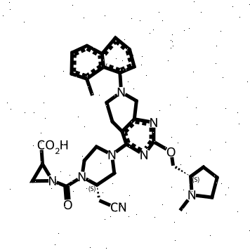 Cc1cccc2cccc(N3CCc4c(nc(OC[C@@H]5CCCN5C)nc4N4CCN(C(=O)N5CC5C(=O)O)[C@@H](CC#N)C4)C3)c12